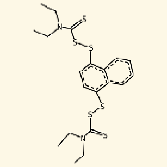 CCN(CC)C(=S)SSc1ccc(SSC(=S)N(CC)CC)c2ccccc12